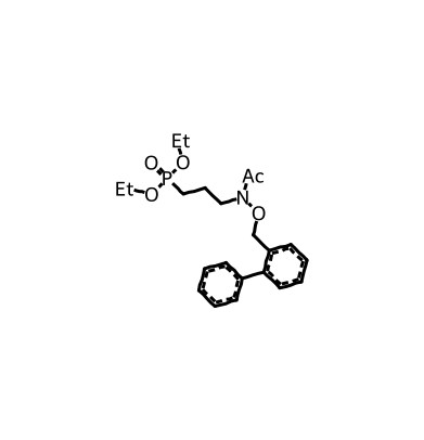 CCOP(=O)(CCCN(OCc1ccccc1-c1ccccc1)C(C)=O)OCC